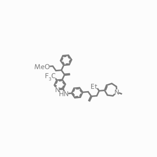 C=C(Cc1ccc(Nc2cc(C(=C)C(CCOC)c3ccccc3)c(C(F)(F)F)cn2)cc1)CC(CC)C1=CCCN(C)CC1